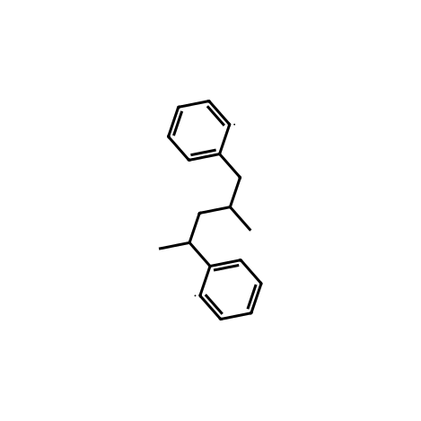 CC(Cc1[c]cccc1)CC(C)c1[c]cccc1